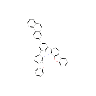 c1ccc2c(c1)ccc1cc(-c3cc4c5ccc6c7ccccc7oc6c5n5c4c(c3)c3ccc4c6ccccc6oc4c35)ccc12